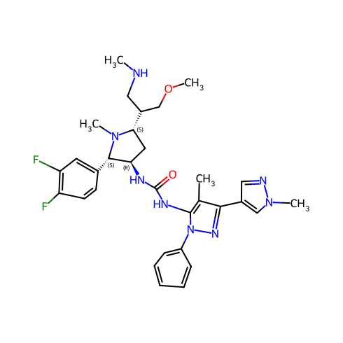 CNCC(COC)[C@@H]1C[C@@H](NC(=O)Nc2c(C)c(-c3cnn(C)c3)nn2-c2ccccc2)[C@H](c2ccc(F)c(F)c2)N1C